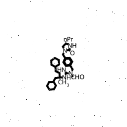 CCC[C@H]1CN(Cc2ccc(CN(C=O)C(=N)N[C@](C)(CCC3CCCCC3)CC3CCCCC3)cc2)C(=O)N1